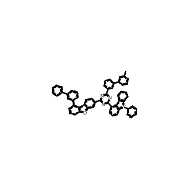 Cc1cccc(-c2cccc(-c3nc(-c4ccc5c(c4)oc4cccc(-c6cccc(-c7ccccc7)c6)c45)nc(-c4cccc5c4c4ccccc4n5-c4ccccc4)n3)c2)c1